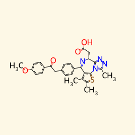 COc1ccc(C(=O)Cc2ccc(C3=N[C@@H](CC(=O)O)c4nnc(C)n4-c4sc(C)c(C)c43)cc2)cc1